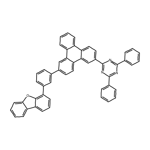 c1ccc(-c2nc(-c3ccccc3)nc(-c3ccc4c5ccccc5c5cc(-c6cccc(-c7cccc8c7oc7ccccc78)c6)ccc5c4c3)n2)cc1